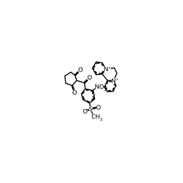 CS(=O)(=O)c1ccc(C(=O)C2C(=O)CCCC2=O)c([N+](=O)[O-])c1.c1cc[n+]2c(c1)-c1cccc[n+]1CC2